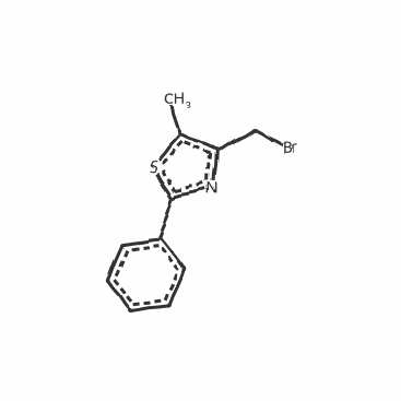 Cc1sc(-c2ccccc2)nc1CBr